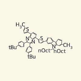 CCCCCCCCC(CCCCCCCC)n1c2cc(C)ccc2c2ccc(-c3ccc(-c4ccc(-c5ccc(C)s5)c5nc(-c6ccc(C(C)(C)C)cc6)c(-c6ccc(C(C)(C)C)cc6)nc45)s3)cc21